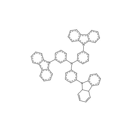 C1=CC2c3ccccc3N(c3cccc(N(c4cccc(-n5c6ccccc6c6ccccc65)c4)c4cccc(-n5c6ccccc6c6ccccc65)c4)c3)C2C=C1